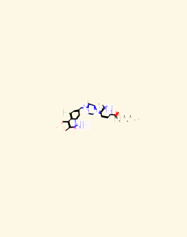 CNC(=O)c1ccc(N2CCN(Cc3cc(F)c4c5c(c(=O)[nH]c4c3)COC5)CC2)c(C(F)(F)F)n1